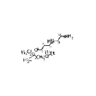 CCO.C[Si](C)(C)OCCCNCCN